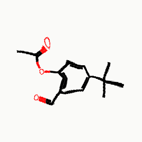 CC(=O)Oc1ccc(C(C)(C)C)cc1[C]=O